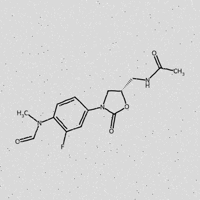 CC(=O)NC[C@H]1CN(c2ccc(N(C)C=O)c(F)c2)C(=O)O1